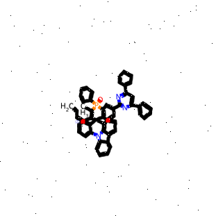 C=C/C=C\C1=C(C)P(=O)(c2ccccc2)c2cc(-c3nc(-c4ccccc4)cc(-c4ccccc4)n3)ccc2C12c1ccccc1-n1c3ccccc3c3cccc2c31